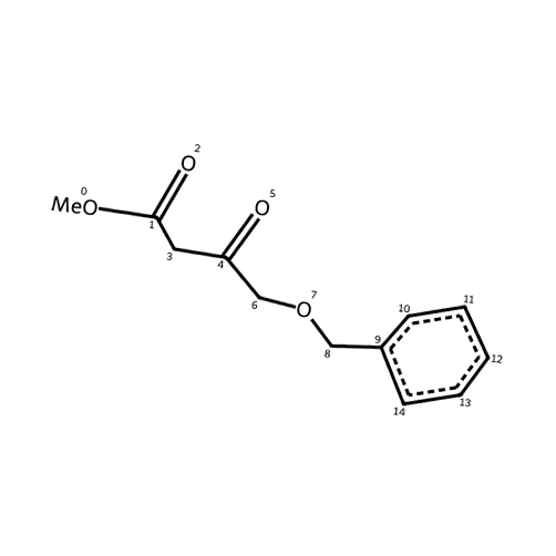 COC(=O)CC(=O)COCc1ccccc1